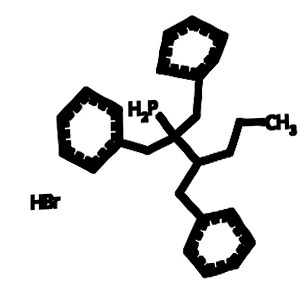 Br.CCCC(Cc1ccccc1)C(P)(Cc1ccccc1)Cc1ccccc1